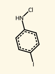 ClNc1ccc(I)cc1